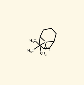 CC(C)(C)[Si]1(C)C2CCCC1CCC2